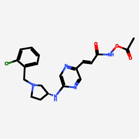 CC(=O)ONC(=O)/C=C/c1cnc(N[C@@H]2CCN(Cc3ccccc3Cl)C2)cn1